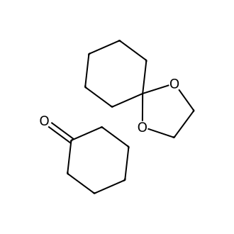 C1CCC2(CC1)OCCO2.O=C1CCCCC1